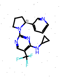 FC(F)(F)c1cnc(N2CCC[C@H]2c2cccnc2)nc1NC1CC1